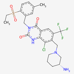 CCS(=O)(=O)c1ccc(C)cc1Cn1c(=O)[nH]c2c(Cl)c(CN3CCC[C@@H](N)C3)c(C(F)(F)F)cc2c1=O